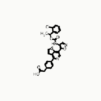 CC(OC(=O)Nc1cnoc1-c1cnc(-c2ccc(CC(=O)O)cc2)c2ccsc12)c1ccccc1Cl